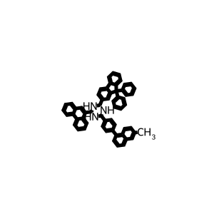 Cc1ccc2c(-c3ccc(C4NC(c5ccc6c(c5)C(c5ccccc5)(c5ccccc5)c5ccccc5-6)NC(c5cc6ccccc6c6ccccc56)N4)cc3)cccc2c1